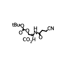 CC(C)(C)OC(=O)OC[C@H](NC(=O)CCC#N)C(=O)O